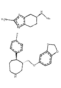 CCCN[C@H]1CCc2nc(N)sc2C1.Fc1ccc([C@@H]2CCNC[C@H]2COc2ccc3c(c2)OCO3)cc1